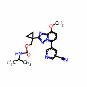 COc1ccc(-c2cncc(C#N)c2)n2nc(C3(COC(=O)NC(C)C)CC3)nc12